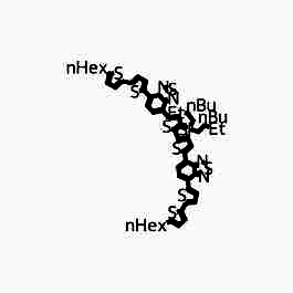 CCCCCCc1ccc(-c2ccc(-c3ccc(-c4cc5c(s4)-c4sc(-c6ccc(-c7ccc(-c8ccc(CCCCCC)s8)s7)c7nsnc67)cc4[Si]5(CC(CC)CCCC)CC(CC)CCCC)c4nsnc34)s2)s1